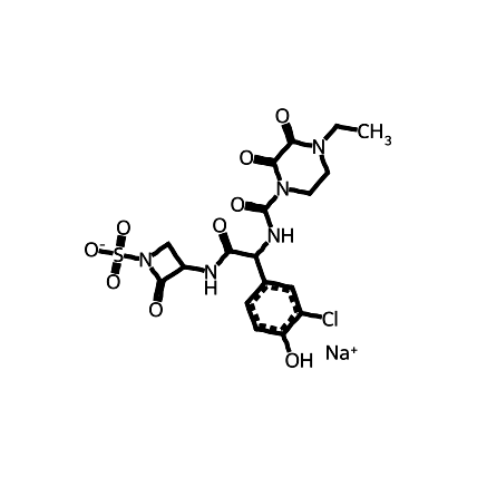 CCN1CCN(C(=O)NC(C(=O)NC2CN(S(=O)(=O)[O-])C2=O)c2ccc(O)c(Cl)c2)C(=O)C1=O.[Na+]